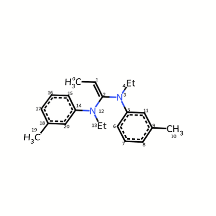 CC=C(N(CC)c1cccc(C)c1)N(CC)c1cccc(C)c1